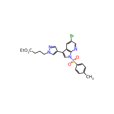 CCOC(=O)CCCn1cc(-c2cn(S(=O)(=O)c3ccc(C)cc3)c3ncc(Br)cc23)cn1